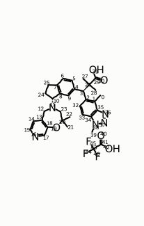 Cc1c([C@@H](c2ccc3c(c2)[C@H](N2Cc4ccncc4OC(C)(C)C2)CC3)C(C)(C)C(=O)O)ccc2c1nnn2C.O=C(O)C(F)(F)F